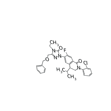 CCn1c(COCc2ccccc2)nn(-c2cc3c(cc2F)C(=O)N(c2ccccc2Cl)CC3C(C)C)c1=O